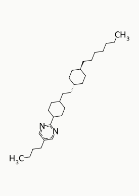 CCCCCCC[C@H]1CC[C@H](CCC2CCC(c3ncc(CCCC)cn3)CC2)CC1